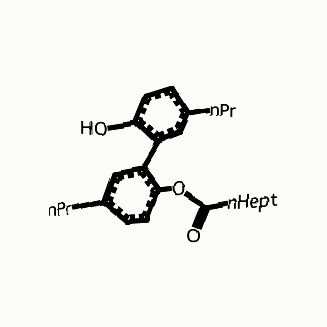 CCCCCCCC(=O)Oc1ccc(CCC)cc1-c1cc(CCC)ccc1O